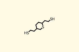 SCCC1CCC(CCS)SC1